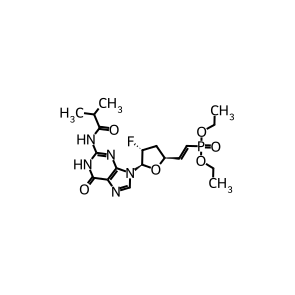 CCOP(=O)(/C=C/[C@@H]1C[C@@H](F)[C@H](n2cnc3c(=O)[nH]c(NC(=O)C(C)C)nc32)O1)OCC